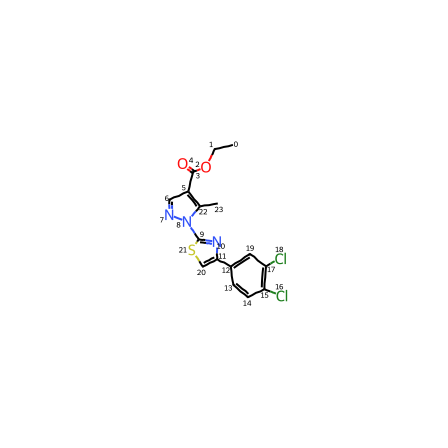 CCOC(=O)c1cnn(-c2nc(-c3ccc(Cl)c(Cl)c3)cs2)c1C